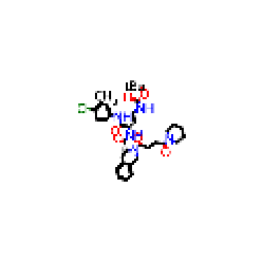 Cc1cc(NC(=O)[C@H](CCNC(=O)OC(C)(C)C)NC(=O)[C@@H]2Cc3ccccc3CN2C(=O)CCC(=O)N2CCCCC2)ccc1Cl